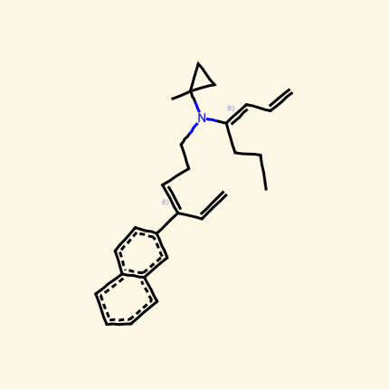 C=C/C=C(\CCC)N(CC/C=C(\C=C)c1ccc2ccccc2c1)C1(C)CC1